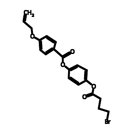 C=CCOc1ccc(C(=O)Oc2ccc(OC(=O)CCCBr)cc2)cc1